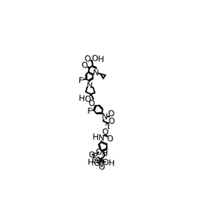 O=C(Nc1ccc(CC(P(=O)(O)O)P(=O)(O)O)cc1)OC[C@H]1CN(c2ccc(OCC3(O)CCN(c4cc5c(cc4F)c(=O)c(C(=O)O)cn5C4CC4)CC3)c(F)c2)C(=O)O1